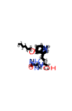 CCCCCCOc1ccc2c(c1)c(CC[C@H](CO)n1cnc(C(N)=O)c1)cn2C